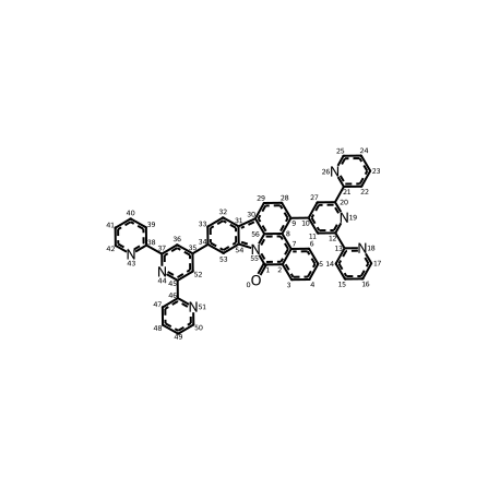 O=c1c2ccccc2c2c(-c3cc(-c4ccccn4)nc(-c4ccccn4)c3)ccc3c4ccc(-c5cc(-c6ccccn6)nc(-c6ccccn6)c5)cc4n1c32